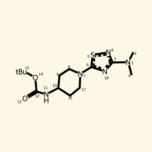 CN(C)c1nsc(N2CCC(NC(=O)OC(C)(C)C)CC2)n1